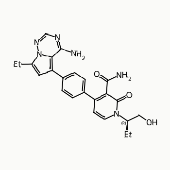 CCc1cc(-c2ccc(-c3ccn([C@H](CC)CO)c(=O)c3C(N)=O)cc2)c2c(N)ncnn12